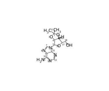 CC1(C)OC2C(N3C=NC4C(N)=NC=NC43)OC(CO)[C@H]2O1